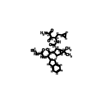 CC(C)(C)NC(=O)NC(C(=O)N1CC2C([C@H]1C(=O)NC(CC1CC1)C(=O)C(N)=O)C2(C)C)C1Cc2ccccc2C1